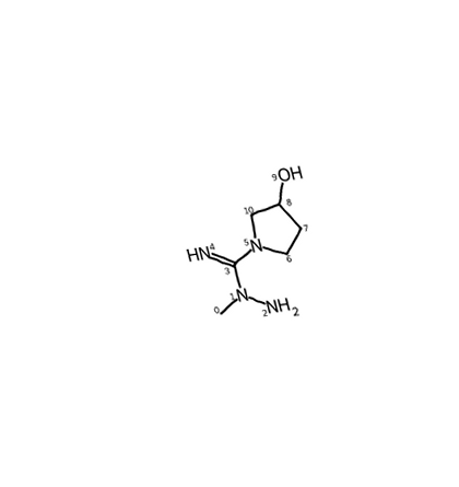 CN(N)C(=N)N1CCC(O)C1